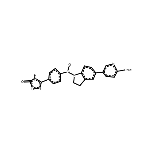 COc1ccc(-c2ccc3c(c2)CCN3[S+]([O-])c2ccc(-c3noc(=O)[nH]3)cc2)cn1